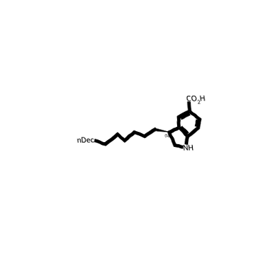 CCCCCCCCCCCCCCCC[C@@H]1CNc2ccc(C(=O)O)cc21